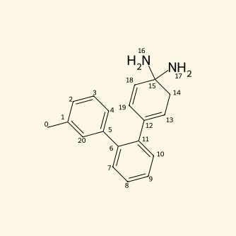 Cc1cccc(-c2ccccc2C2=CCC(N)(N)C=C2)c1